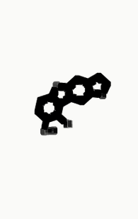 CCc1c(C=O)ccc2oc3cc4ccoc4cc3c12